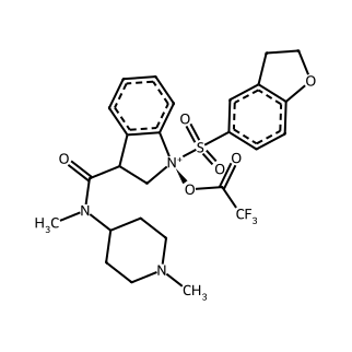 CN1CCC(N(C)C(=O)C2C[N@@+](OC(=O)C(F)(F)F)(S(=O)(=O)c3ccc4c(c3)CCO4)c3ccccc32)CC1